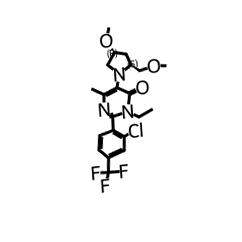 CCn1c(-c2ccc(C(F)(F)F)cc2Cl)nc(C)c(N2C[C@H](OC)C[C@H]2COC)c1=O